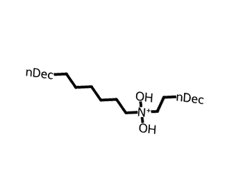 CCCCCCCCCCCCCCCC[N+](O)(O)CCCCCCCCCCCC